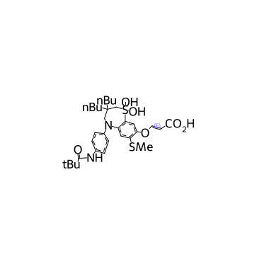 CCCCC1(CCCC)CN(c2ccc(NC(=O)C(C)(C)C)cc2)c2cc(SC)c(O/C=C/C(=O)O)cc2S(O)(O)C1